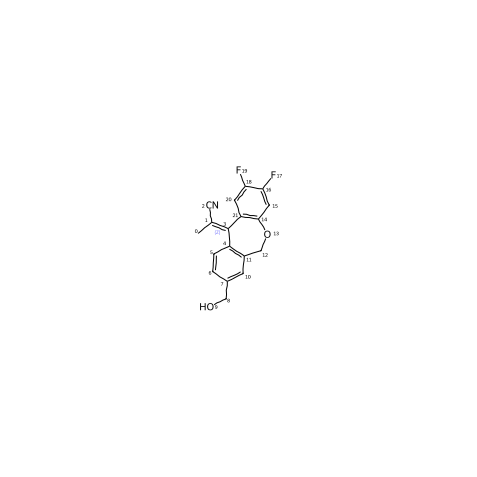 C/C(C#N)=C1\c2ccc(CO)cc2COc2cc(F)c(F)cc21